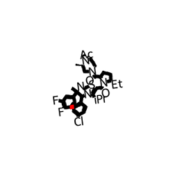 CCC1CCC(C(=O)N2CCN(C(C)=O)[C@H](C)C2)N1C(=O)C1=C(C(C)C)N2C(=NC(C)(c3ccc(F)c(F)c3)C2c2ccc(Cl)cc2)S1